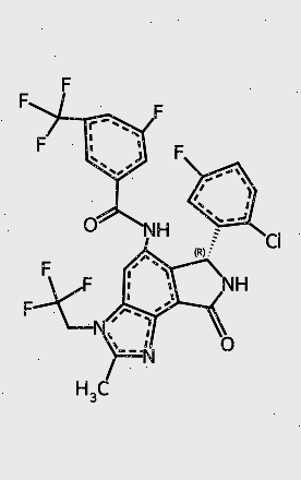 Cc1nc2c3c(c(NC(=O)c4cc(F)cc(C(F)(F)F)c4)cc2n1CC(F)(F)F)[C@H](c1cc(F)ccc1Cl)NC3=O